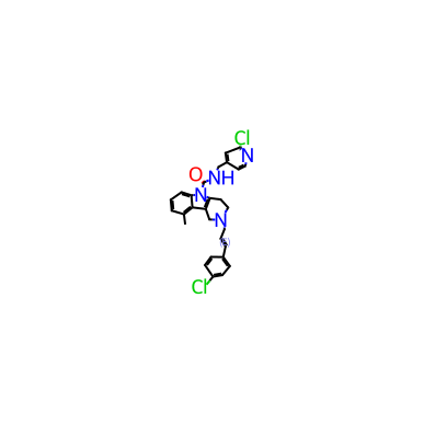 Cc1cccc2c1c1c(n2C(=O)NCc2ccnc(Cl)c2)CCN(C/C=C/c2ccc(Cl)cc2)C1